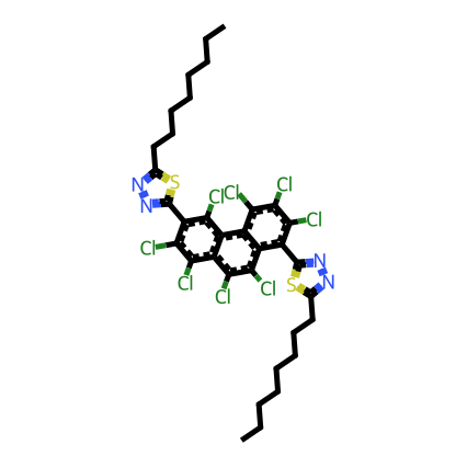 CCCCCCCCc1nnc(-c2c(Cl)c(Cl)c3c(Cl)c(Cl)c4c(-c5nnc(CCCCCCCC)s5)c(Cl)c(Cl)c(Cl)c4c3c2Cl)s1